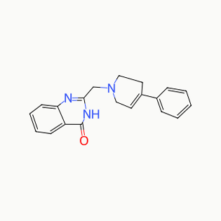 O=c1[nH]c(CN2CC=C(c3ccccc3)CC2)nc2ccccc12